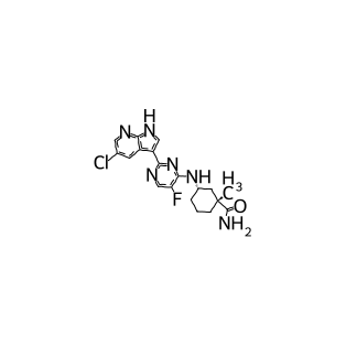 C[C@@]1(C(N)=O)CCC[C@H](Nc2nc(-c3c[nH]c4ncc(Cl)cc34)ncc2F)C1